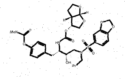 CNC(=O)Oc1ccc(C[C@H](NC(=O)O[C@H]2CO[C@H]3OCC[C@H]32)[C@@H](O)CN(CC(C)C)S(=O)(=O)c2ccc3c(c2)OCO3)cc1